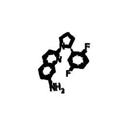 Nc1ccc2ccc(N3CCC[C@@H]3c3cc(F)ccc3F)nc2c1